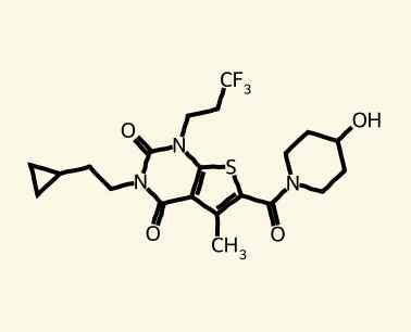 Cc1c(C(=O)N2CCC(O)CC2)sc2c1c(=O)n(CCC1CC1)c(=O)n2CCC(F)(F)F